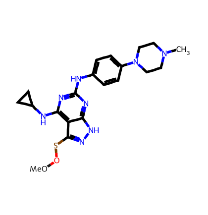 COOSc1n[nH]c2nc(Nc3ccc(N4CCN(C)CC4)cc3)nc(NC3CC3)c12